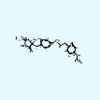 [2H][C@]1(Cc2ccc(OCCc3ccc(CC)cn3)cc2)SC(=C)NC1=O